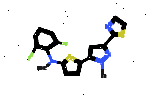 CCn1nc(-c2nccs2)cc1-c1ccc(N(C=O)c2c(F)cccc2F)s1